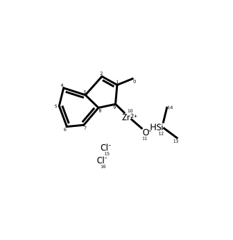 CC1=Cc2ccccc2[CH]1[Zr+2][O][SiH](C)C.[Cl-].[Cl-]